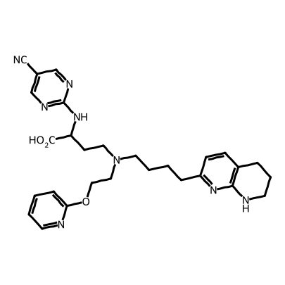 N#Cc1cnc(NC(CCN(CCCCc2ccc3c(n2)NCCC3)CCOc2ccccn2)C(=O)O)nc1